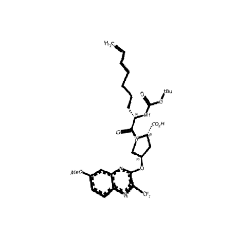 C=CCCCCC[C@H](NC(=O)OC(C)(C)C)C(=O)N1C[C@H](Oc2nc3cc(OC)ccc3nc2C(F)(F)F)C[C@H]1C(=O)O